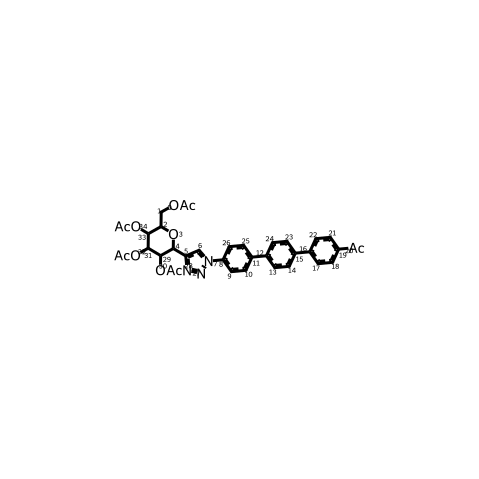 CC(=O)OCC1OC(c2cn(-c3ccc(-c4ccc(-c5ccc(C(C)=O)cc5)cc4)cc3)nn2)C(OC(C)=O)C(OC(C)=O)C1OC(C)=O